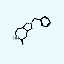 O=C1CC2CN(Cc3ccccc3)CC2CCN1